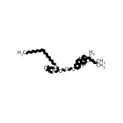 CCCCCCCC/C=C\CCCCCCCCOCC(CN1CCC2(CC1)COC2)OCCOCCO[C@H]1CC[C@@]2(C)C(=CC[C@H]3[C@@H]4CC[C@H]([C@H](C)CCCC(C)C)[C@@]4(C)CC[C@@H]32)C1